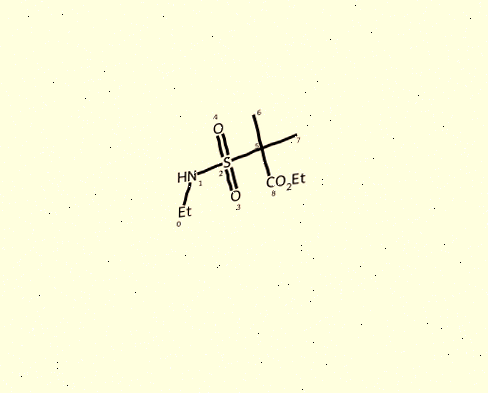 CCNS(=O)(=O)C(C)(C)C(=O)OCC